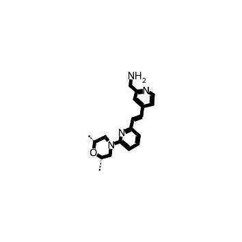 C[C@@H]1CN(c2cccc(/C=C/c3ccnc(CN)c3)n2)C[C@H](C)O1